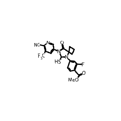 COC(=O)c1ccc(N2C(S)N(c3cnc(C#N)c(C(F)(F)F)c3)C(=O)C23CCC3)cc1F